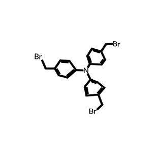 BrCc1ccc(N(c2ccc(CBr)cc2)c2ccc(CBr)cc2)cc1